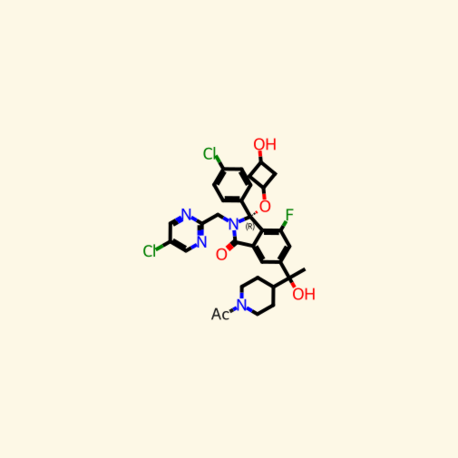 CC(=O)N1CCC(C(C)(O)c2cc(F)c3c(c2)C(=O)N(Cc2ncc(Cl)cn2)[C@@]3(OC2CC(O)C2)c2ccc(Cl)cc2)CC1